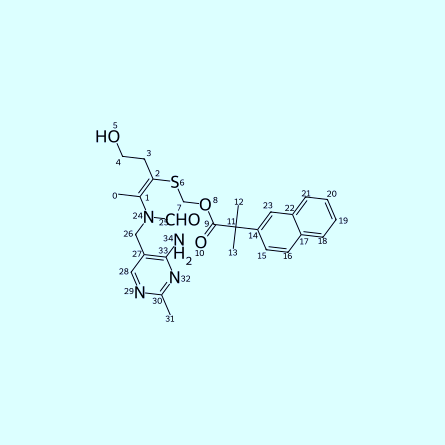 CC(=C(CCO)SCOC(=O)C(C)(C)c1ccc2ccccc2c1)N(C=O)Cc1cnc(C)nc1N